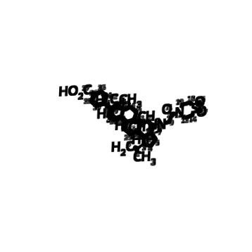 C=C(C)[C@@H]1CC[C@]2(CNCC(=O)N3CCS(=O)(=O)CC3)CC[C@]3(C)[C@H](CC[C@@H]4[C@@]5(C)CC=C(c6ccc(C(=O)O)cc6)C(C)(C)[C@@H]5CC[C@]43C)[C@@H]12